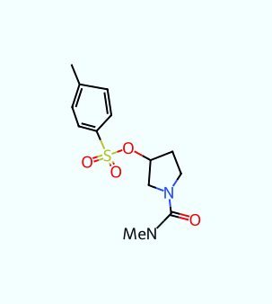 CNC(=O)N1CCC(OS(=O)(=O)c2ccc(C)cc2)C1